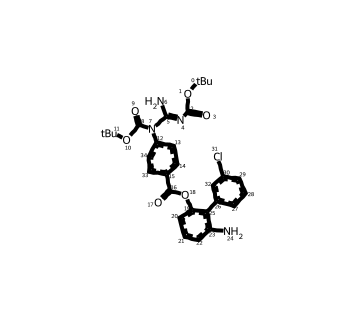 CC(C)(C)OC(=O)N=C(N)N(C(=O)OC(C)(C)C)c1ccc(C(=O)Oc2cccc(N)c2-c2cccc(Cl)c2)cc1